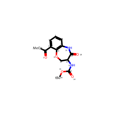 COC(=O)c1cccc2c1OCC(NC(=O)OC(C)(C)C)C(=O)N2